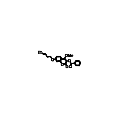 CC/C=C/CCOc1ccc2c(OC)c(OC(=O)c3ccccc3)c(=O)oc2c1